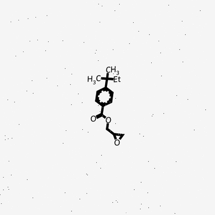 CCC(C)(C)c1ccc(C(=O)OCC2CO2)cc1